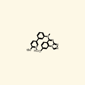 CN(c1cccc(-c2ccc(C(C)(C)C)[n+](O)c2)c1)c1nc2nncn2c2cc(Cl)ccc12